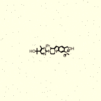 Cc1nc(N2CCn3c(cc4cc(CO)c(S(C)(=O)=O)cc43)[C@@H]2C(C)C)ncc1C(C)(C)O